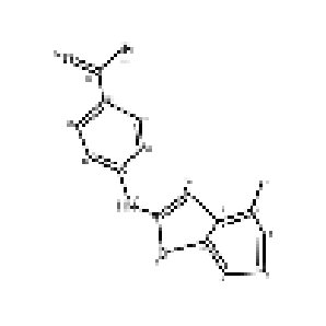 Cc1cccc2oc(Nc3ccc(C(=O)C(C)C)cc3)nc12